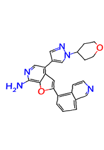 Nc1ncc(-c2cnn(C3CCOCC3)c2)c2cc(-c3cccc4cnccc34)oc12